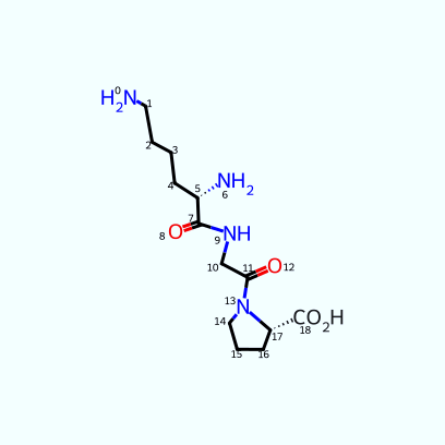 NCCCC[C@H](N)C(=O)NCC(=O)N1CCC[C@H]1C(=O)O